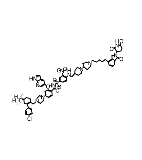 CC1(C)CCC(CN2CCN(c3ccc(C(=O)NS(=O)(=O)c4ccc(NCC5CCN(C6CCN(CCCCCc7cccc8c7CN(C7CCC(=O)NC7=O)C8=O)CC6)CC5)c([N+](=O)[O-])c4)c(Oc4cnc5[nH]ccc5c4)c3)CC2)=C(c2ccc(Cl)cc2)C1